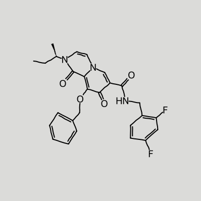 CC[C@@H](C)n1ccn2cc(C(=O)NCc3ccc(F)cc3F)c(=O)c(OCc3ccccc3)c2c1=O